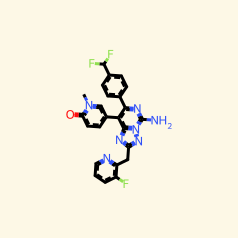 Cn1cc(-c2c(-c3ccc(C(F)F)cc3)nc(N)n3nc(Cc4ncccc4F)nc23)ccc1=O